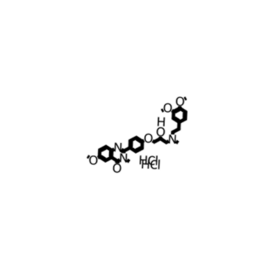 COc1ccc2nc(-c3ccc(OCC(O)CN(C)CCc4ccc(OC)c(OC)c4)cc3)n(C)c(=O)c2c1.Cl.Cl